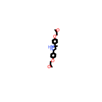 CC1(c2ccc(OCC3CO3)cc2)CC(c2ccc(OCC3CO3)cc2)=NN1